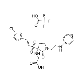 O=C(O)C(F)(F)F.O=C(O)CNC1(S(=O)(=O)C=Cc2ccc(Cl)s2)CCN(CCNc2ccncc2)C1=O